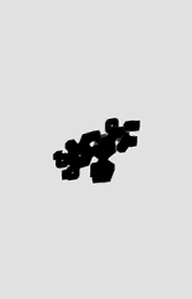 CCN(C(=O)c1cc(-c2cccs2)c2n1CCc1c-2cc(OC)c(OC)c1C)C(C)C